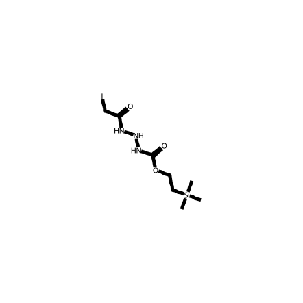 C[Si](C)(C)CCOC(=O)NNNC(=O)CI